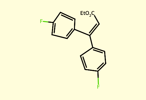 CCOC(=O)C=C(c1ccc(F)cc1)c1ccc(F)cc1